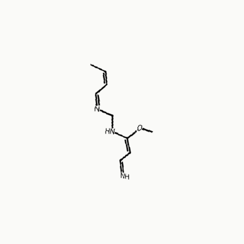 C/C=C\C=N/CN/C(=C\C=N)OC